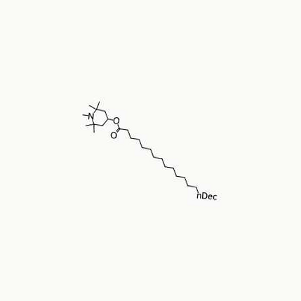 CCCCCCCCCCCCCCCCCCCCCCCC(=O)OC1CC(C)(C)N(C)C(C)(C)C1